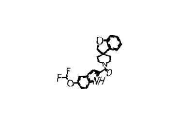 O=C(c1cc2cc(OC(F)F)ccc2[nH]1)N1CCC2(CC1)COc1ccccc12